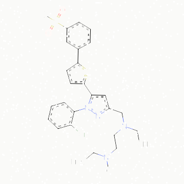 CCN(C)CCN(CC)Cc1cc(-c2ccc(-c3cccc(S(C)(=O)=O)c3)s2)n(-c2ccccc2Cl)n1